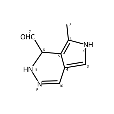 Cc1[nH]cc2c1C(C=O)NN=C2